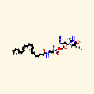 CC/C=C\C/C=C\C/C=C\C/C=C\C/C=C\C/C=C\CCC(=O)NCCN[PH](=O)OC[C@H]1OC(n2cc(C)c(=O)[nH]c2=O)C[C@@H]1N=[N+]=[N-]